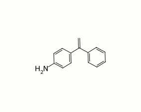 C=C(c1ccccc1)c1ccc(N)cc1